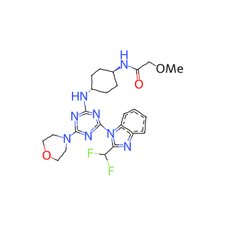 COCC(=O)N[C@H]1CC[C@H](Nc2nc(N3CCOCC3)nc(-n3c(C(F)F)nc4ccccc43)n2)CC1